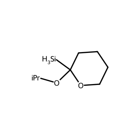 CC(C)OC1([SiH3])CCCCO1